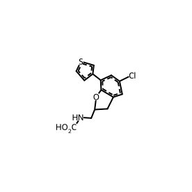 O=C(O)NCC1Cc2cc(Cl)cc(-c3ccsc3)c2O1